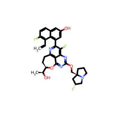 C=Cc1c(F)ccc2cc(O)cc(-c3nc4c5c(nc(OC[C@@]67CCCN6C[C@H](F)C7)nc5c3F)O[C@@H]([C@H](C)O)CC4)c12